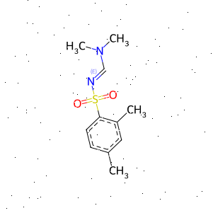 Cc1ccc(S(=O)(=O)/N=C/N(C)C)c(C)c1